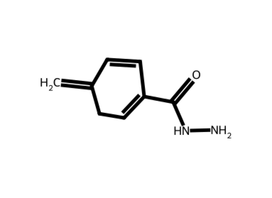 C=C1C=CC(C(=O)NN)=CC1